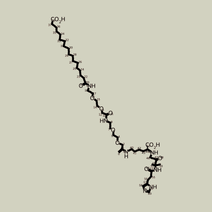 C=C(COCCOCCNC(=O)COCCOCCNC(=O)CCCCCCCCCCCCCCCCC(=O)O)NCCCC[C@H](NCC(=O)C(C)(C)NC(=O)CCc1cnc[nH]1)C(=O)O